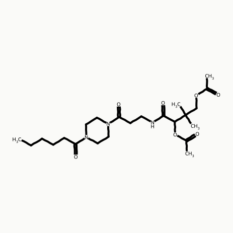 CCCCCC(=O)N1CCN(C(=O)CCNC(=O)C(OC(C)=O)C(C)(C)COC(C)=O)CC1